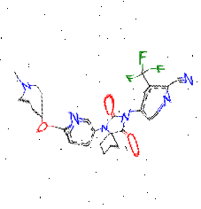 CN1CCC(Oc2ccc(N3C(=O)N(c4cnc(C#N)c(C(F)(F)F)c4)C(=O)C34CCC4)cn2)CC1